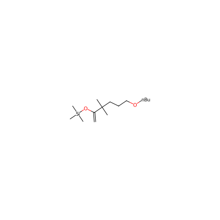 C=C(O[Si](C)(C)C)C(C)(C)CCCOCCCC